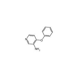 Nc1cnccc1Oc1ccccc1